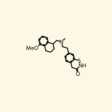 COc1cccc2c1CCCC2CN(C)CCc1ccc2c(c1)SNC(=O)C2